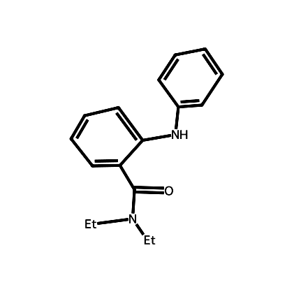 CCN(CC)C(=O)c1ccccc1Nc1ccccc1